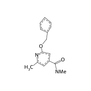 CNC(=O)c1cc(C)nc(OCc2ccccc2)c1